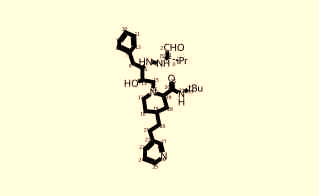 CC(C)[C@@H](C=O)NNC(Cc1ccccc1)C(O)CN1CCC(CCc2cccnc2)CC1C(=O)NC(C)(C)C